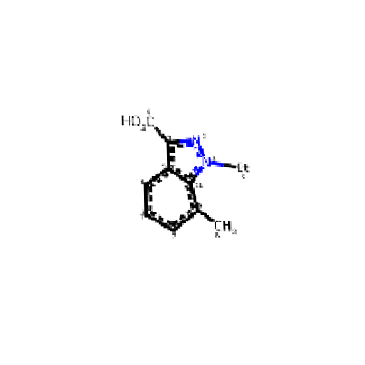 CCn1nc(C(=O)O)c2cccc(C)c21